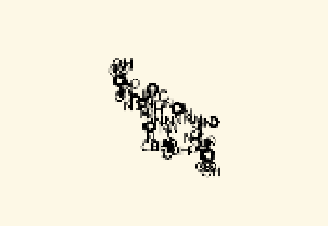 CCN(CC)c1ccc(/N=N/c2nc(N3CCCCC3)c(/C=C(\C#N)N3C(=O)c4ccc(S(=O)(=O)O)cc4C3=O)s2)c(Nc2nc(Nc3cc(N(CC)CC)ccc3/N=N/c3nc(N4CCCCC4)c(/C=C(\C#N)N4C(=O)c5ccc(S(=O)(=O)O)cc5C4=O)s3)nc(SCCS(=O)(=O)O)n2)c1